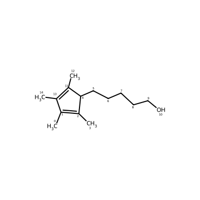 CC1=C(C)C(CCCCCO)C(C)=C1C